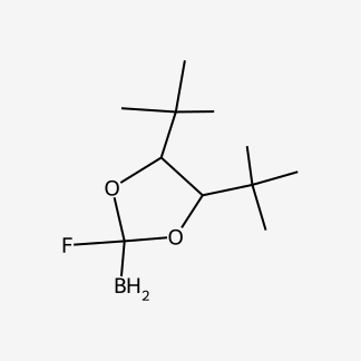 BC1(F)OC(C(C)(C)C)C(C(C)(C)C)O1